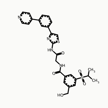 CC(C)S(=O)(=O)c1cc(CO)cc(C(=O)NCC(=O)Nc2nc(-c3cccc(-c4ccncc4)c3)cs2)c1